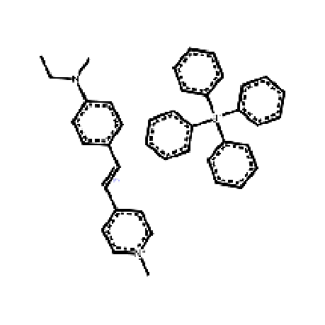 CCN(C)c1ccc(/C=C/c2cc[n+](C)cc2)cc1.c1ccc([B-](c2ccccc2)(c2ccccc2)c2ccccc2)cc1